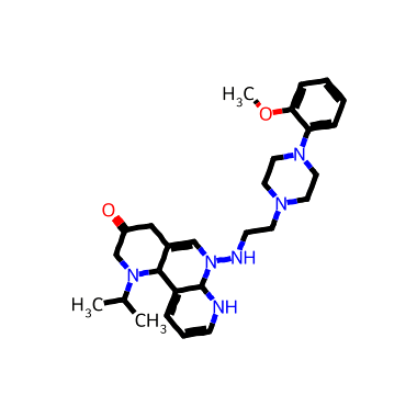 COc1ccccc1N1CCN(CCNN2C=C3CC(=O)CN(C(C)C)C3C3=CC=CNC32)CC1